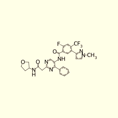 Cn1ccc(-c2cc(C(=O)Nc3cnc(CC(=O)NC4CCOC4)nc3-c3ccccc3)c(F)cc2C(F)(F)F)n1